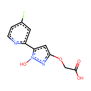 O=C(O)COc1cc(-c2cc(F)ccn2)n(O)n1